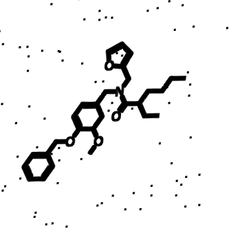 CCCCC(CC)C(=O)N(CC1=CC=C(OCc2ccccc2)C(OC)C1)Cc1ccco1